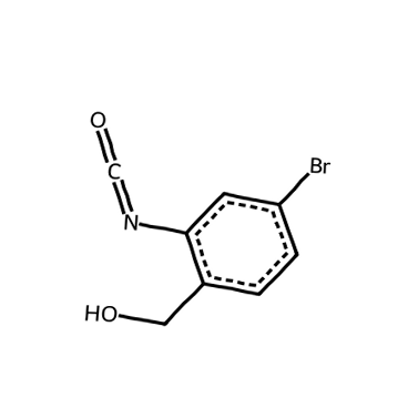 O=C=Nc1cc(Br)ccc1CO